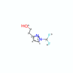 OCCc1ccn(C(F)F)n1